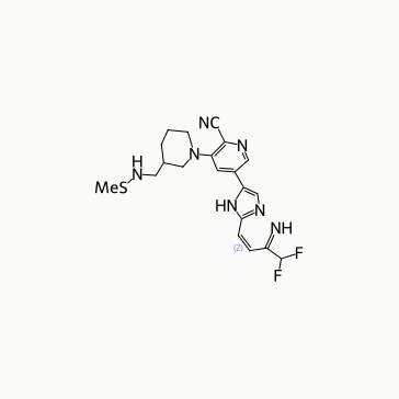 CSNCC1CCCN(c2cc(-c3cnc(/C=C\C(=N)C(F)F)[nH]3)cnc2C#N)C1